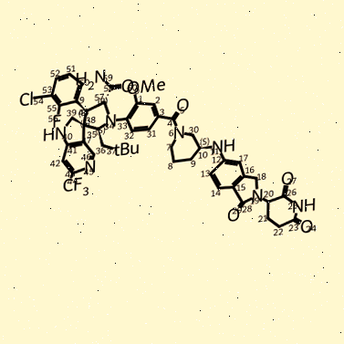 COc1cc(C(=O)N2CCC[C@H](Nc3ccc4c(c3)CN(C3CCC(=O)NC3=O)C4=O)C2)ccc1N1[C@@H](CC(C)(C)C)[C@@]2(CNc3cc(C(F)(F)F)ncc32)[C@@H](c2cccc(Cl)c2F)[C@@H]1C(N)=O